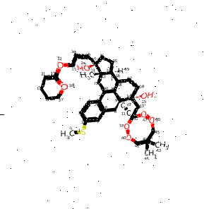 CSc1ccc2c(c1)C[C@]13CCC4(C[C@]1(O)CC[C@@H]1C3C2C[C@@]2(C)[C@H]1CC[C@@]2(O)/C=C\COC1CCCCO1)OOCC(C)(C)COO4